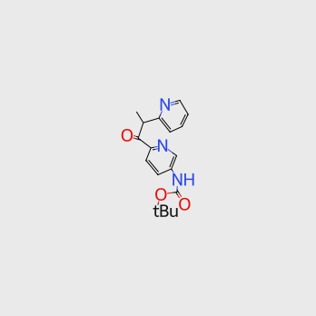 CC(C(=O)c1ccc(NC(=O)OC(C)(C)C)cn1)c1ccccn1